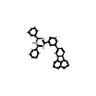 C1=CC2c3cccc4cccc(c34)C2C=C1c1cccc(C2=NC(c3ccccc3)NC(c3ccccc3)=N2)c1